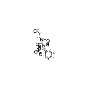 O=NN(C(=O)NCCCl)C(c1ccccc1)P(=O)(O)O